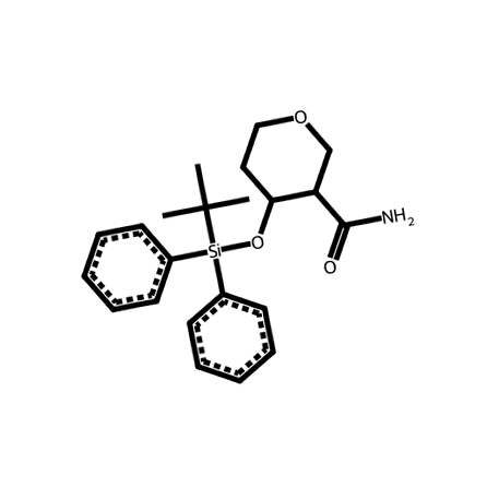 CC(C)(C)[Si](OC1CCOCC1C(N)=O)(c1ccccc1)c1ccccc1